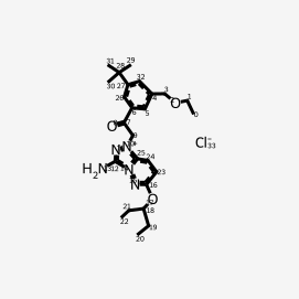 CCOCc1cc(C(=O)C[n+]2nc(N)n3nc(OC(CC)CC)ccc32)cc(C(C)(C)C)c1.[Cl-]